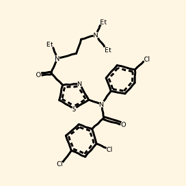 CCN(CC)CCN(CC)C(=O)c1csc(N(C(=O)c2ccc(Cl)cc2Cl)c2ccc(Cl)cc2)n1